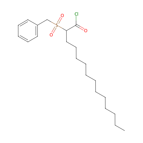 CCCCCCCCCCCCC(C(=O)Cl)S(=O)(=O)Cc1ccccc1